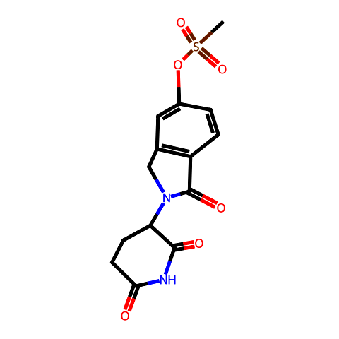 CS(=O)(=O)Oc1ccc2c(c1)CN(C1CCC(=O)NC1=O)C2=O